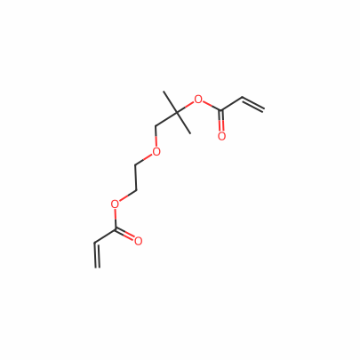 C=CC(=O)OCCOCC(C)(C)OC(=O)C=C